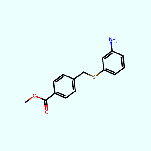 COC(=O)c1ccc(CSc2cccc(N)c2)cc1